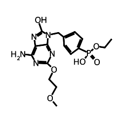 CCOP(=O)(O)c1ccc(Cn2c(O)nc3c(N)nc(OCCOC)nc32)cc1